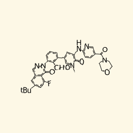 Cn1cc(-c2cccc(-n3ncc4cc(C(C)(C)C)cc(F)c4c3=O)c2C=O)cc(Nc2ccc(C(=O)N3CCOCC3)cn2)c1=O